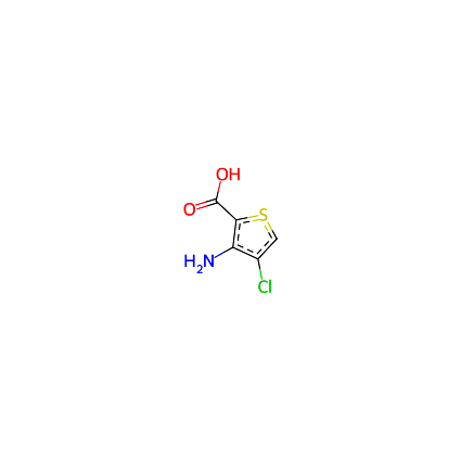 Nc1c(Cl)csc1C(=O)O